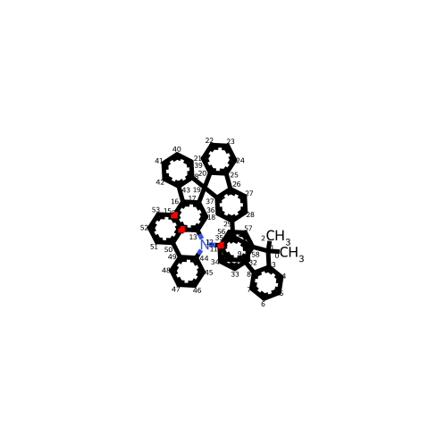 CC1(C)c2ccccc2-c2cc(N(c3ccc4c(c3)C3(c5ccccc5-c5ccc(-c6ccccc6)cc53)c3ccccc3-4)c3ccccc3-c3ccccc3)ccc21